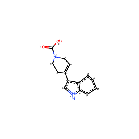 O=C(O)N1CC=C(c2c[nH]c3ccccc23)CC1